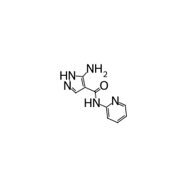 Nc1[nH]ncc1C(=O)Nc1ccccn1